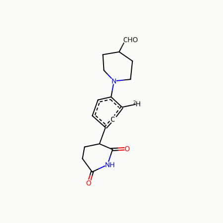 [2H]c1cc(C2CCC(=O)NC2=O)ccc1N1CCC(C=O)CC1